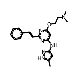 Cc1cc(Nc2cc(OCCN(C)C)nc(/C=C/c3ccccc3)n2)n[nH]1